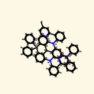 Cc1ccnc(-c2ccccc2N2c3cc(N(c4ccccc4)c4ccccc4)cc4c3B3c5c2cccc5[Si](c2ccccc2)(c2ccccc2)c2cccc(c23)N4c2ccccc2-c2cc(C)ccn2)c1